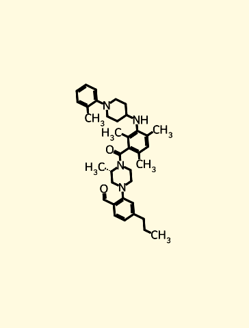 CCCc1ccc(C=O)c(N2CCN(C(=O)c3c(C)cc(C)c(NC4CCN(c5ccccc5C)CC4)c3C)[C@@H](C)C2)c1